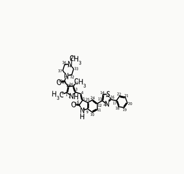 Cc1[nH]c(/C=C2\C(=O)Nc3ccc(-c4csc(-c5ccccc5)n4)cc32)c(C)c1C(=O)N1CCN(C)CC1